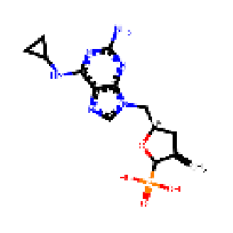 C=C1C[C@H](Cn2cnc3c(NC4CC4)nc(N)nc32)OC1P(=O)(O)O